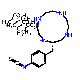 CC(=O)O.CC(=O)O.CC(=O)O.CC(=O)O.S=C=Nc1ccc(C[C@H]2CNCCNCCNCCN2)cc1